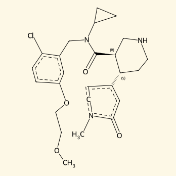 COCCOc1ccc(Cl)c(CN(C(=O)[C@H]2CNCC[C@@H]2c2ccn(C)c(=O)c2)C2CC2)c1